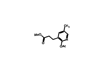 COC(=O)CCc1cc(C)cnc1OC(C)=O